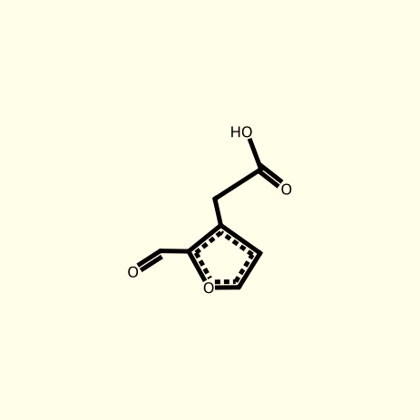 O=Cc1occc1CC(=O)O